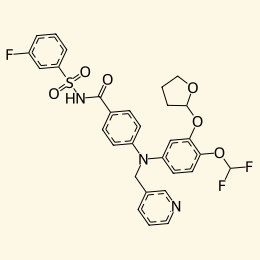 O=C(NS(=O)(=O)c1cccc(F)c1)c1ccc(N(Cc2cccnc2)c2ccc(OC(F)F)c(OC3CCCO3)c2)cc1